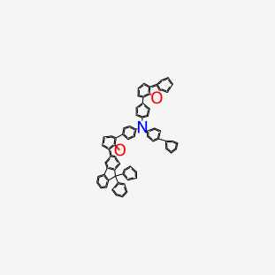 c1ccc(-c2ccc(N(c3ccc(-c4cccc5c4oc4ccccc45)cc3)c3ccc(-c4cccc5c4oc4cc6c(cc45)-c4ccccc4C6(c4ccccc4)c4ccccc4)cc3)cc2)cc1